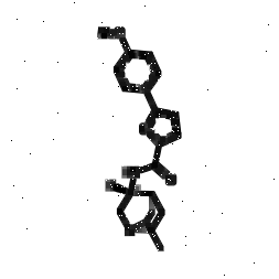 COc1ccc(-c2ccc(C(=O)N[C@H]3CN4CCC3CC4C)o2)cc1